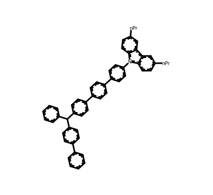 CCCc1ccc2c(c1)c1cc(CCC)ccc1n2-c1ccc(-c2ccc(-c3ccc(C(c4ccccc4)c4ccc(-c5ccccc5)cc4)cc3)cc2)cc1